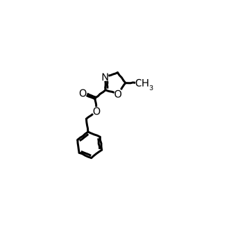 CC1CN=C(C(=O)OCc2ccccc2)O1